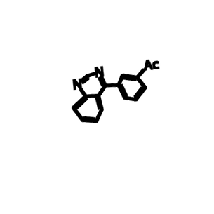 CC(=O)c1cccc(-c2ncnc3ccccc23)c1